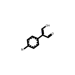 O=C/C(=C\O)c1ccc(Br)cc1